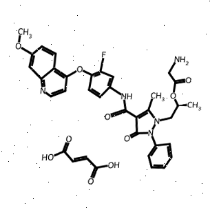 COc1ccc2c(Oc3ccc(NC(=O)c4c(C)n(C[C@H](C)OC(=O)CN)n(-c5ccccc5)c4=O)cc3F)ccnc2c1.O=C(O)C=CC(=O)O